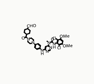 COc1cc(OC)c(Cl)c(NC(=O)N(C)c2cc(Nc3ccc(N4CCN(C(=O)C5CCC(C=O)CC5)CC4)cc3)ncn2)c1Cl